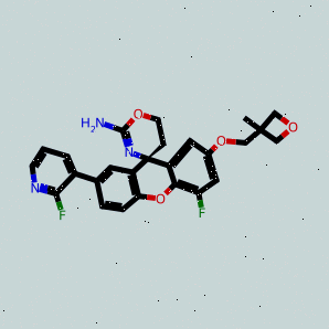 CC1(COc2cc(F)c3c(c2)[C@]2(CCOC(N)=N2)c2cc(-c4cccnc4F)ccc2O3)COC1